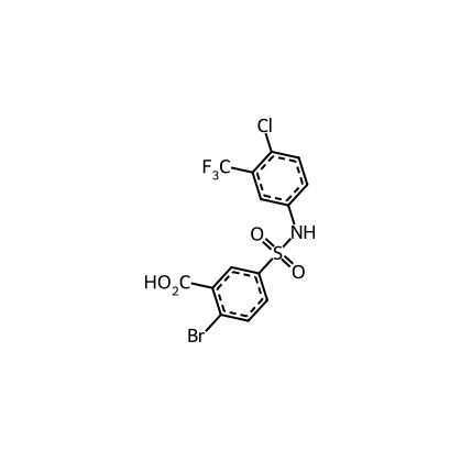 O=C(O)c1cc(S(=O)(=O)Nc2ccc(Cl)c(C(F)(F)F)c2)ccc1Br